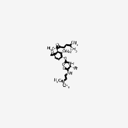 CO[C@@H]1[C@H](OC(=O)N[C@@H](C(=O)NCCN(C)C)C(C)C)CC[C@]2(CO2)[C@H]1[C@@]1(C)OC1CC=C(C)C